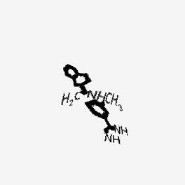 C=C(Nc1ccc(C(=N)C=N)cc1C)C1CCc2ccccc2C1